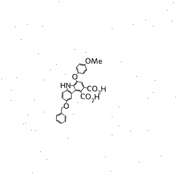 COc1ccc(Oc2cc(C(=O)O)c(C(=O)O)c3c2[nH]c2ccc(OCc4ccccc4)cc23)cc1